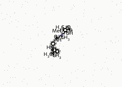 COc1c(C)c2c(c(O)c1C/C=C(\C)CCC(=O)NC[C@H]1CC[C@@H](Nc3nc(N(C)C)c4ccccc4n3)CC1)C(=O)OC2